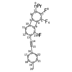 CCCc1cc2c(c(F)c1F)-c1c-2ccc(C#Cc2ccc(C)cc2)c1F